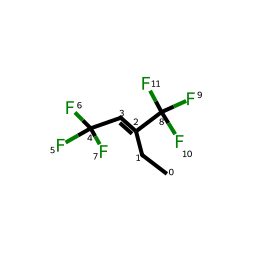 CCC(=CC(F)(F)F)C(F)(F)F